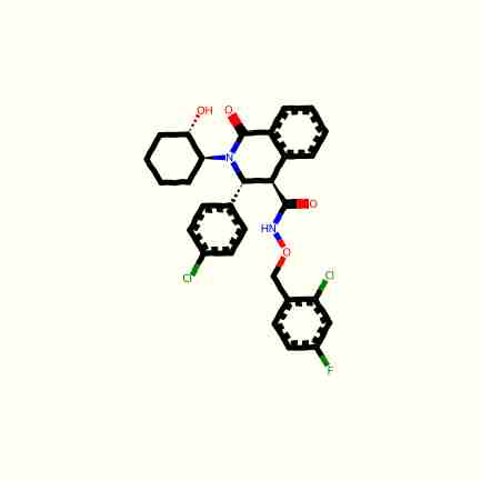 O=C(NOCc1ccc(F)cc1Cl)[C@@H]1c2ccccc2C(=O)N([C@H]2CCCC[C@@H]2O)[C@H]1c1ccc(Cl)cc1